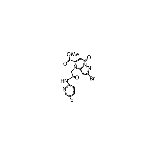 COC(=O)c1cc(=O)n2nc(Br)cc2n1CC(=O)Nc1ccc(F)cn1